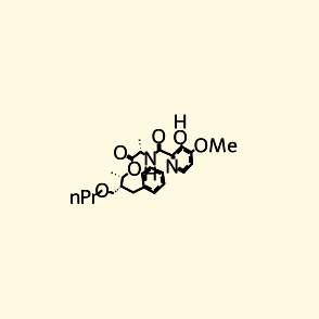 CCCOC[C@@H](Cc1ccccc1)[C@H](C)OC(=O)[C@H](C)NC(=O)c1nccc(OC)c1O